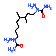 CC(CCCCN(N)C(N)=O)C(C)CCN(N)C(N)=O